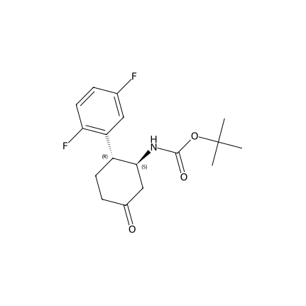 CC(C)(C)OC(=O)N[C@H]1CC(=O)CC[C@@H]1c1cc(F)ccc1F